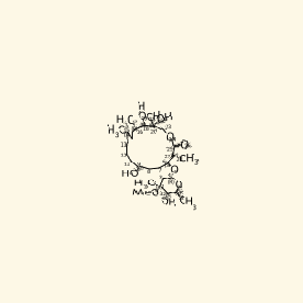 CO[C@]1(C)C[C@H](O[C@H]2CC[C@H](O)CCCN(C)[C@H](C)[C@@H](O)[C@](C)(O)COC(=O)[C@@H]2C)O[C@@H](C)[C@@H]1O